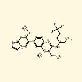 CCC(CCC(F)(F)F)NC(=O)N(CC)[C@H](C)c1cccc(-c2cn3ccnc3cc2OC)c1